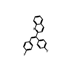 Fc1ccc(C=C(c2ccc(F)cc2)c2ccc3ccccc3n2)cc1